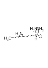 CCCCCCCCCC(CN)CCCCCCCCNC(C1CCCCC1)C1CCC(N)(N)CC1